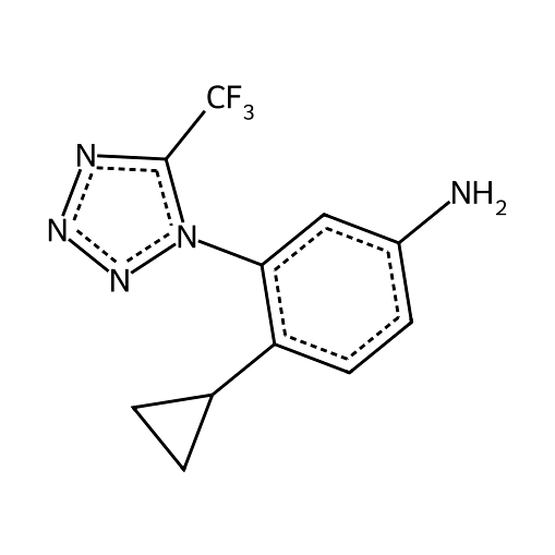 Nc1ccc(C2CC2)c(-n2nnnc2C(F)(F)F)c1